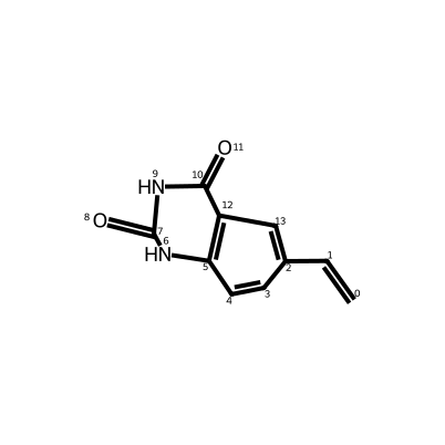 C=Cc1ccc2[nH]c(=O)[nH]c(=O)c2c1